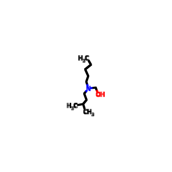 CCCCCN(CO)CCC(C)C